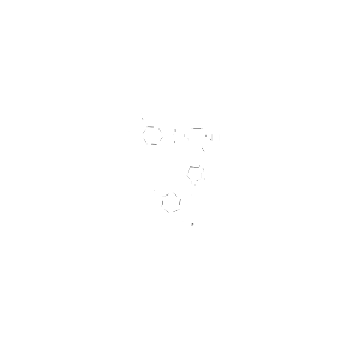 O=C1NC=CN(S(=O)(=O)c2ccc(Cl)c(Cl)c2)C1Cc1cn(C2CCS(=O)(=O)c3ccc(Cl)cc32)nn1